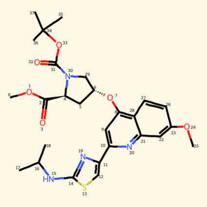 COC(=O)[C@@H]1C[C@@H](Oc2cc(-c3csc(NC(C)C)n3)nc3cc(OC)ccc23)CN1C(=O)OC(C)(C)C